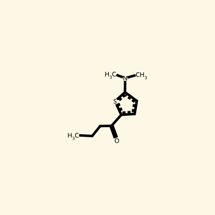 CCCC(=O)c1ccc(N(C)C)s1